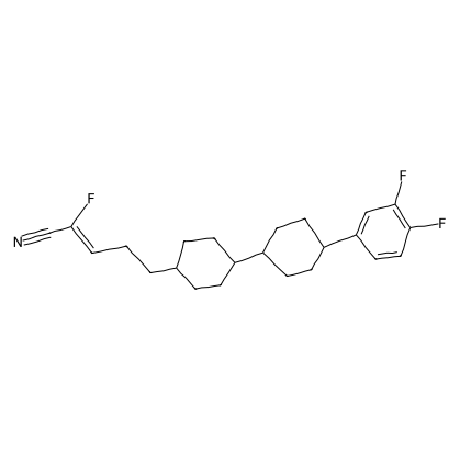 N#CC(F)=CCCC1CCC(C2CCC(c3ccc(F)c(F)c3)CC2)CC1